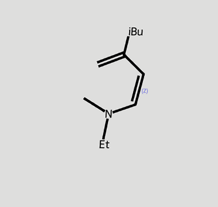 C=C(/C=C\N(C)CC)C(C)CC